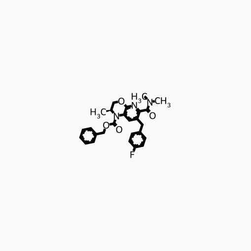 C[C@H]1COc2nc(C(=O)N(C)C)c(Cc3ccc(F)cc3)cc2N1C(=O)OCc1ccccc1